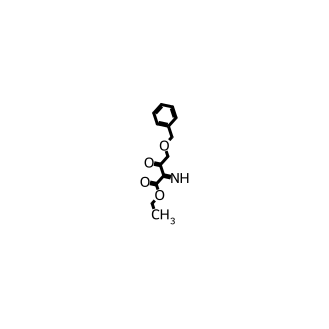 CCOC(=O)C(=N)C(=O)COCc1ccccc1